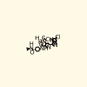 CC(C)Nc1cc(-c2cnn3cc(Cl)cnc23)ncc1C(=O)N[C@H]1CC[C@H](C(=O)NC2CC2)CC1